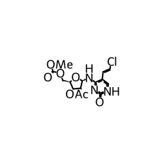 COC(=O)OC[C@@H]1C[C@@H](OC(C)=O)[C@H](Nc2nc(=O)[nH]cc2C=CCl)O1